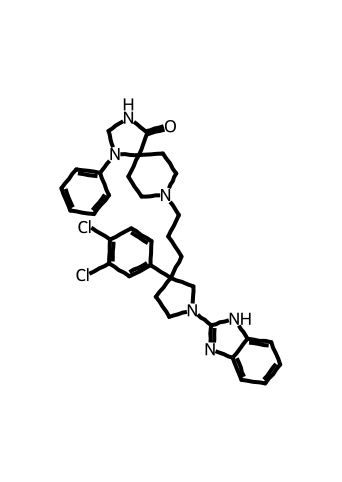 O=C1NCN(c2ccccc2)C12CCN(CCCC1(c3ccc(Cl)c(Cl)c3)CCN(c3nc4ccccc4[nH]3)C1)CC2